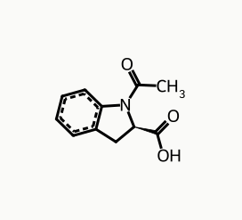 CC(=O)N1c2ccccc2C[C@@H]1C(=O)O